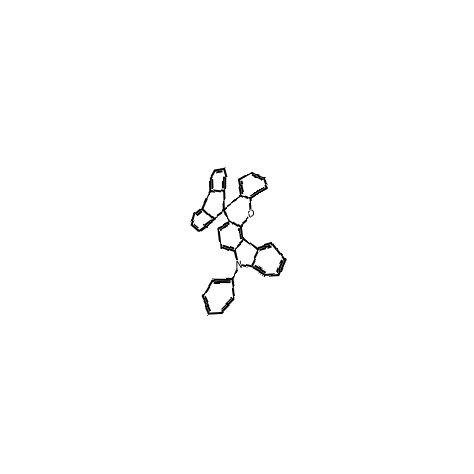 c1ccc(-n2c3ccccc3c3c4c(ccc32)C2(c3ccccc3O4)c3ccccc3-c3ccccc32)cc1